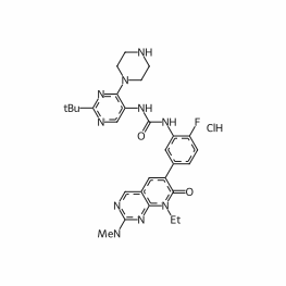 CCn1c(=O)c(-c2ccc(F)c(NC(=O)Nc3cnc(C(C)(C)C)nc3N3CCNCC3)c2)cc2cnc(NC)nc21.Cl